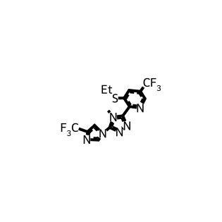 CCSc1cc(C(F)(F)F)cnc1-c1nnc(-n2cnc(C(F)(F)F)c2)n1C